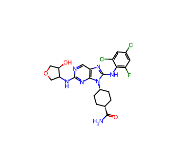 NC(=O)[C@H]1CC[C@@H](n2c(Nc3c(F)cc(Cl)cc3Cl)nc3cnc(NC4COC[C@H]4O)nc32)CC1